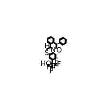 C[C@H]1Sc2cc(C(O)(C(F)(F)F)C(F)(F)F)ccc2N2C(=O)[C@H](c3ccccc3)c3ccccc3[C@@H]12